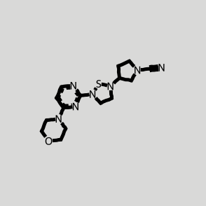 N#CN1CCC(N2CCN(c3nccc(N4CCOCC4)n3)S2)C1